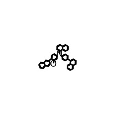 c1ccc2cc3c(cc2c1)oc1cc(N(c2ccc(-c4cccc5ccccc45)cc2)c2cccc4ccccc24)ccc13